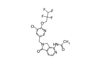 CC(=O)Nc1nccc2c1CN(Cc1cnc(OCC(F)(F)C(F)F)c(Cl)c1)C2=O